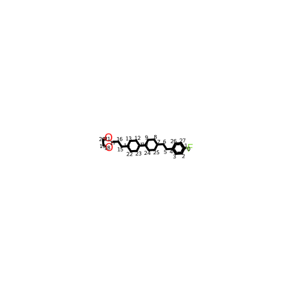 Fc1ccc(CCC2CCC(C3CCC(CCC4OCCO4)CC3)CC2)cc1